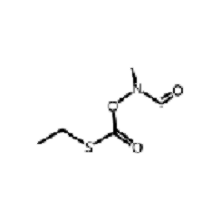 CCSC(=O)ON(C)[C]=O